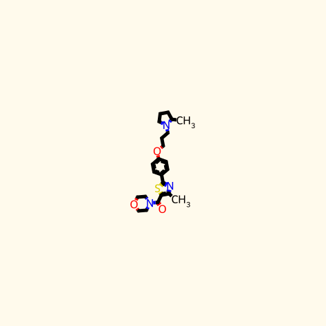 Cc1nc(-c2ccc(OCCCN3CCCC3C)cc2)sc1C(=O)N1CCOCC1